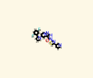 O=C(Nc1nc(-c2cccnc2)cs1)c1cnn2ccc(N3CCCC3c3cc(F)ccc3F)cc12